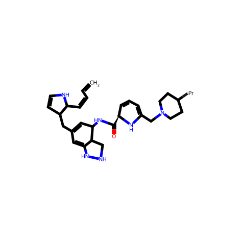 C=C/C=C\C1NC=CC1CC1=CC(NC(=O)[C@H]2C=CC=C(CN3CCC(C(C)C)CC3)N2)C2CNNC2=C1